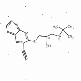 CC(C)(C)NC[C@H](O)COc1nc2ncccc2cc1C#N